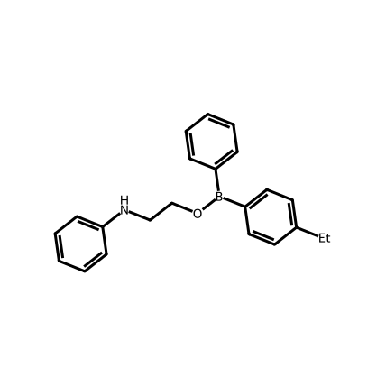 CCc1ccc(B(OCCNc2ccccc2)c2ccccc2)cc1